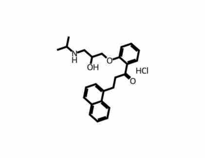 CC(C)NCC(O)COc1ccccc1C(=O)CCc1cccc2ccccc12.Cl